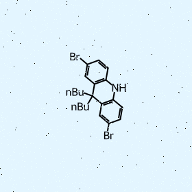 CCCCC1(CCCC)c2cc(Br)ccc2Nc2ccc(Br)cc21